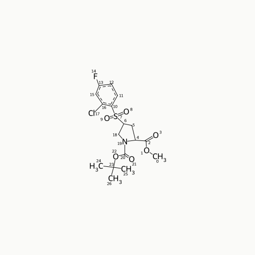 COC(=O)C1CC(S(=O)(=O)c2ccc(F)cc2Cl)CN1C(=O)OC(C)(C)C